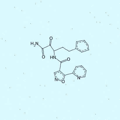 NC(=O)C(=O)C(CCc1ccccc1)NC(=O)c1cnoc1-c1ccccn1